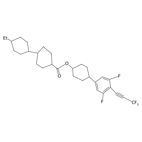 CCC1CCC(C2CCC(C(=O)OC3CCC(c4cc(F)c(C#CC(F)(F)F)c(F)c4)CC3)CC2)CC1